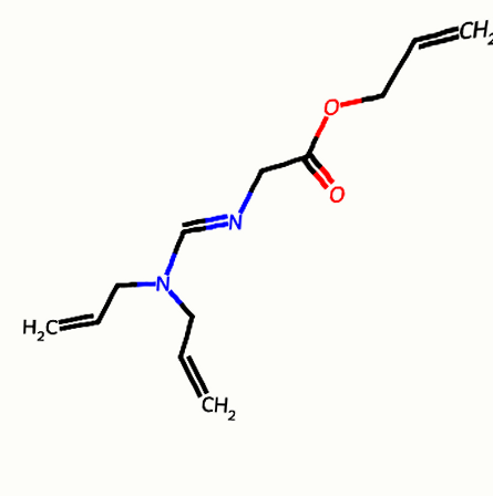 C=CCOC(=O)C/N=C/N(CC=C)CC=C